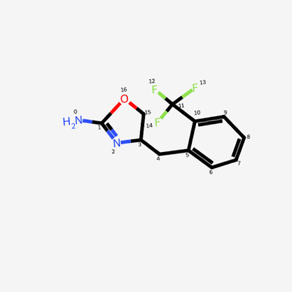 NC1=NC(Cc2ccccc2C(F)(F)F)CO1